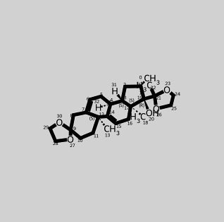 C[C@H]1C[C@H]2[C@@H]3CC=C4CC5(CC[C@]4(C)C3=CC[C@]2(C)[C@@]1(O)C1(C)OCCO1)OCCO5